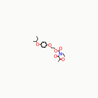 CCC(C)Oc1ccc(OCCOC(=O)N(CC)C(=O)C(C)=O)cc1